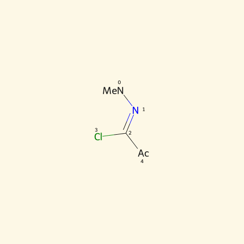 CN/N=C(\Cl)C(C)=O